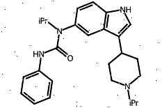 CC(C)N1CCC(c2c[nH]c3ccc(N(C(=O)Nc4ccccc4)C(C)C)cc23)CC1